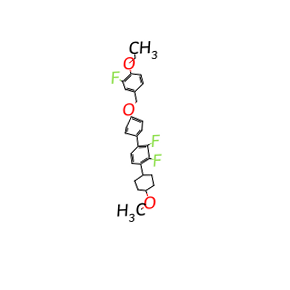 CCOc1ccc(COc2ccc(-c3ccc(C4CCC(OC)CC4)c(F)c3F)cc2)cc1F